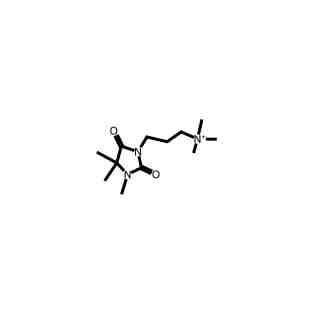 CN1C(=O)N(CCC[N+](C)(C)C)C(=O)C1(C)C